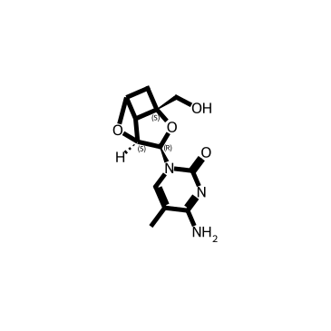 Cc1cn([C@@H]2O[C@@]3(CO)CC4O[C@H]2C43)c(=O)nc1N